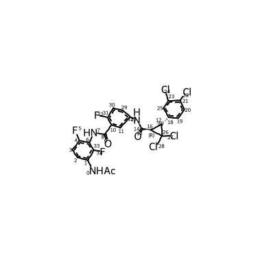 CC(=O)Nc1ccc(F)c(NC(=O)c2cc(NC(=O)[C@H]3[C@H](c4ccc(Cl)c(Cl)c4)C3(Cl)Cl)ccc2F)c1F